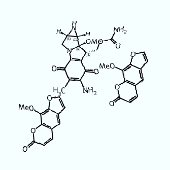 CO[C@@]12[C@H](COC(N)=O)C3=C(C(=O)C(C)=C(N)C3=O)N1C[C@@H]1N[C@@H]12.COc1c2occc2cc2ccc(=O)oc12.COc1c2occc2cc2ccc(=O)oc12